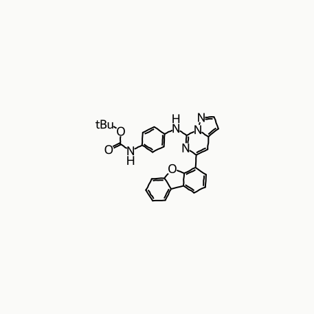 CC(C)(C)OC(=O)Nc1ccc(Nc2nc(-c3cccc4c3oc3ccccc34)cc3ccnn23)cc1